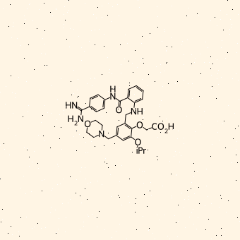 CC(C)Oc1cc(CN2CCOCC2)cc(CNc2ccccc2C(=O)Nc2ccc(C(=N)N)cc2)c1OCC(=O)O